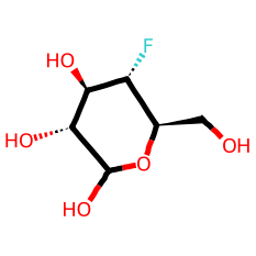 OC[C@H]1OC(O)[C@H](O)[C@@H](O)[C@@H]1F